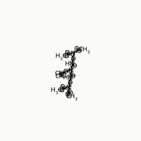 COC(=O)CCN(CCOCCNC(=O)CCN(CCOCC[Si](Cl)(Cl)Cl)CCC(=O)NCCOCCN(CCC(=O)OC)CCC(=O)OC)CCC(=O)OC